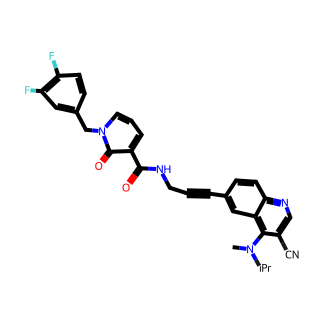 CC(C)N(C)c1c(C#N)cnc2ccc(C#CCNC(=O)c3cccn(Cc4ccc(F)c(F)c4)c3=O)cc12